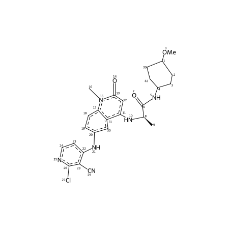 COC1CCC(NC(=O)[C@@H](C)Nc2cc(=O)n(C)c3ccc(Nc4ccnc(Cl)c4C#N)cc23)CC1